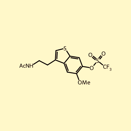 COc1cc2c(CCNC(C)=O)csc2cc1OS(=O)(=O)C(F)(F)F